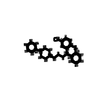 Clc1ccc2c(c1)N(CCCN1CCN(c3ccccc3)CC1)c1ccccc1S2